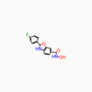 O=C(NO)c1ccc2c(c1)OC(c1ccc(F)cc1)N2